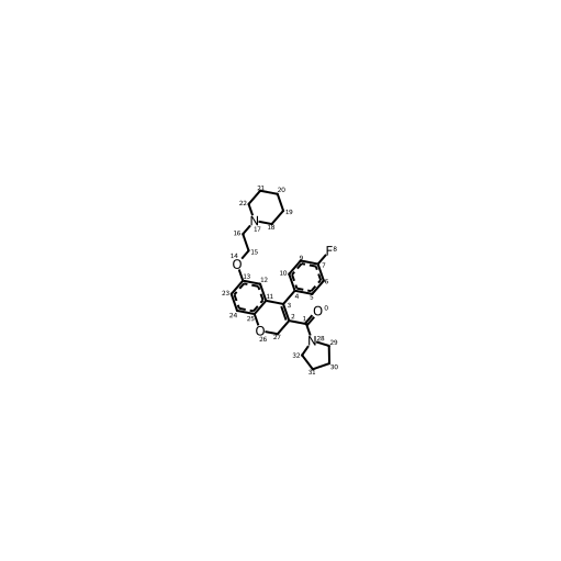 O=C(C1=C(c2ccc(F)cc2)c2cc(OCCN3CCCCC3)ccc2OC1)N1CCCC1